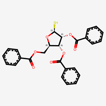 O=C(OC[C@H]1O[C@@H](S)[C@H](OC(=O)c2ccccc2)[C@@H]1OC(=O)c1ccccc1)c1ccccc1